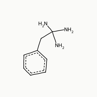 NC(N)(N)Cc1ccccc1